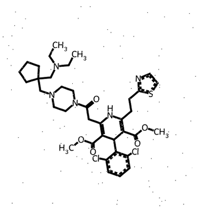 CCN(CC)CC1(CN2CCN(C(=O)CC3=C(C(=O)OC)C(c4c(Cl)cccc4Cl)C(C(=O)OC)=C(CCc4nccs4)N3)CC2)CCCC1